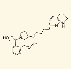 CC(C)OCc1ncccc1C(C(=O)O)N1CC[C@@H](OCCCCc2ccc3c(n2)NCCC3)C1